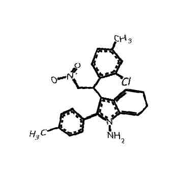 Cc1ccc(-c2c(C(C[N+](=O)[O-])c3ccc(C)cc3Cl)c3c(n2N)=CCCC=3)cc1